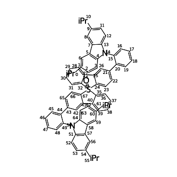 CC(C)c1ccc2c(c1)c1cc(C(C)C)ccc1n2-c1ccccc1-c1ccc2c(c1)-c1ccccc1S21(=O)c2ccccc2-c2cc(-c3ccccc3-n3c4ccc(C(C)C)cc4c4cc(C(C)C)ccc43)ccc21